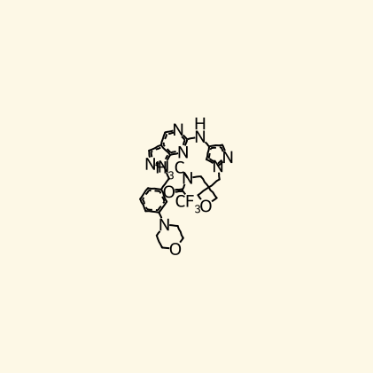 CN(CC1(Cn2cc(Nc3ncc4cnn(Cc5cccc(N6CCOCC6)c5)c4n3)cn2)COC1)C(=O)C(F)(F)F